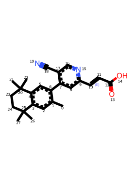 Cc1cc2c(cc1-c1cc(/C=C/C(=O)O)ncc1C#N)C(C)(C)CCC2(C)C